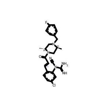 C[C@@H]1CN(Cc2ccc(F)cc2)[C@@H](C)CN1C(=O)/C=C/c1ccc(Cl)cc1N(C#N)C(=N)N